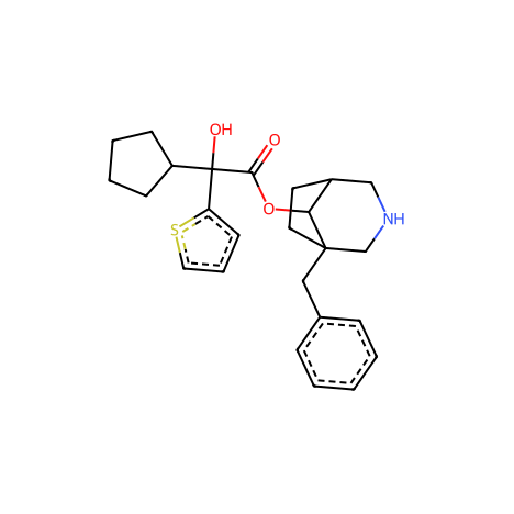 O=C(OC1C2CCC1(Cc1ccccc1)CNC2)C(O)(c1cccs1)C1CCCC1